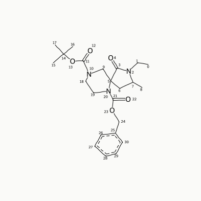 CCN1C(=O)C2(CC1C)CN(C(=O)OC(C)(C)C)CCN2C(=O)OCc1ccccc1